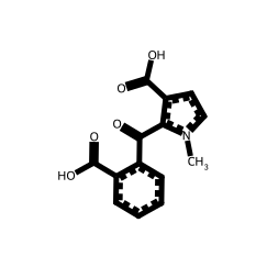 Cn1ccc(C(=O)O)c1C(=O)c1ccccc1C(=O)O